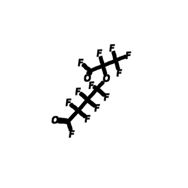 O=C(F)C(F)(F)C(F)(F)C(F)(F)OC(F)(C(=O)F)C(F)(F)F